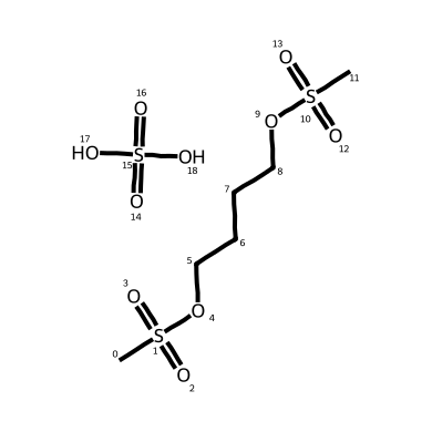 CS(=O)(=O)OCCCCOS(C)(=O)=O.O=S(=O)(O)O